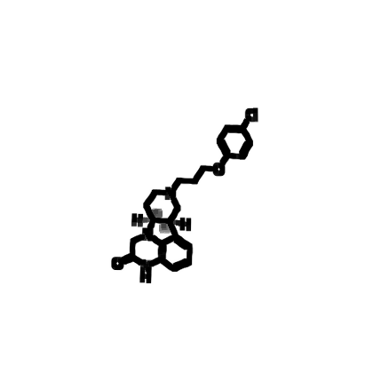 O=C1CN2c3c(cccc3[C@@H]3CN(CCCOc4ccc(Cl)cc4)CC[C@@H]32)N1